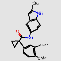 COc1ccc(C2(C(=O)Nc3ccc4[nH]c(C(C)(C)C)cc4c3)CC2)cc1OC